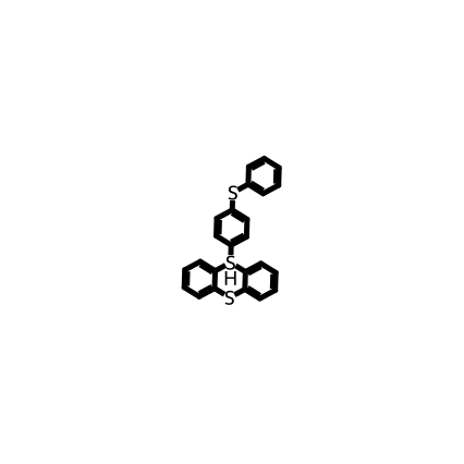 c1ccc(Sc2ccc([SH]3c4ccccc4Sc4ccccc43)cc2)cc1